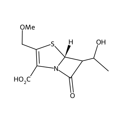 COCC1=C(C(=O)O)N2C(=O)C(C(C)O)[C@H]2S1